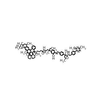 CCCC(C)(C(=O)NCc1ccc(C2N=NC(C)=NN2C)cc1)c1ccc(/N=N/c2ccc(C(C)(CC)CCNC(=O)CCCN(C)C(=O)c3ccccc3C3=c4cc5c(cc4C(C)(C)c4c3cc3c6c4CCCN6CCC3)=[N+](CC)C(C)(C)CC5C)cc2O)cc1